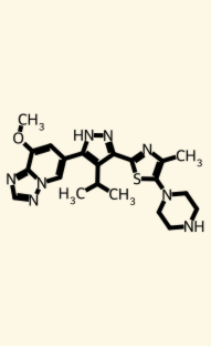 COc1cc(-c2[nH]nc(-c3nc(C)c(N4CCNCC4)s3)c2C(C)C)cn2ncnc12